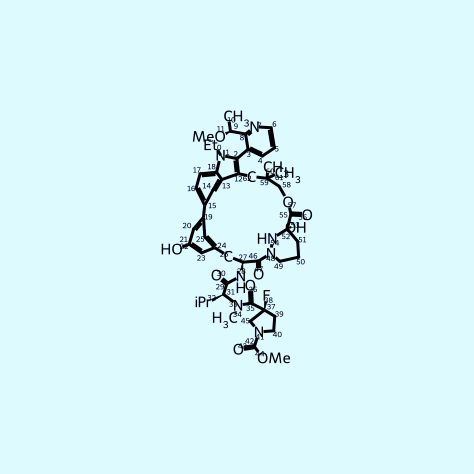 CCn1c(-c2cccnc2[C@H](C)OC)c2c3cc(ccc31)-c1cc(O)cc(c1)C[C@H](NC(=O)[C@H](C(C)C)N(C)C(=O)[C@]1(F)CCN(C(=O)OC)C1)C(=O)N1CCC[C@@](O)(N1)C(=O)OCC(C)(C)C2